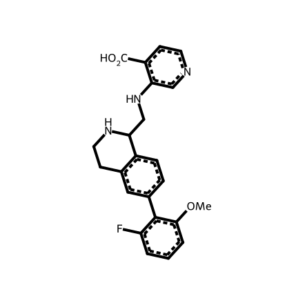 COc1cccc(F)c1-c1ccc2c(c1)CCNC2CNc1cnccc1C(=O)O